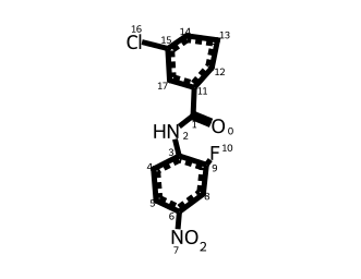 O=C(Nc1ccc([N+](=O)[O-])cc1F)c1cccc(Cl)c1